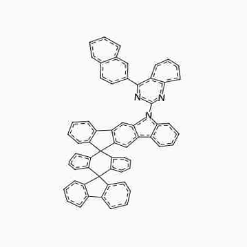 c1ccc2c(c1)-c1ccccc1C21c2ccccc2C2(c3ccccc3-c3cc4c(cc32)c2ccccc2n4-c2nc(-c3ccc4ccccc4c3)c3ccccc3n2)c2ccccc21